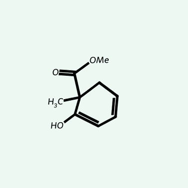 COC(=O)C1(C)CC=CC=C1O